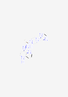 S=C(N/N=C1/CCNc2cccnc21)N1CCN(c2cnccn2)CC1